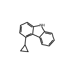 c1ccc2c(c1)[nH]c1cccc(C3CC3)c12